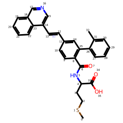 CSCCC(NC(=O)c1ccc(/C=C/c2cncc3ccccc23)cc1-c1ccccc1C)C(=O)O